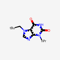 CCCn1c(=O)[nH]c(=O)c2c1ncn2CC(C)(C)C